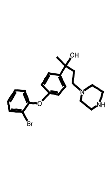 CC(O)(CCN1CCNCC1)c1ccc(Oc2ccccc2Br)cc1